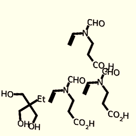 C=CN(C=O)CCC(=O)O.C=CN(C=O)CCC(=O)O.C=CN(C=O)CCC(=O)O.CCC(CO)(CO)CO